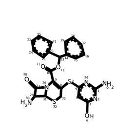 Nc1nc(O)cc(SC2=C(C(=O)OC(c3ccccc3)c3ccccc3)N3C(=O)C(N)C3SC2)n1